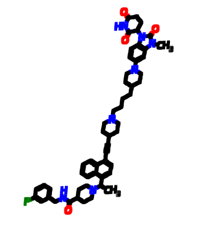 CC(c1ccc(C#CC2CCN(CCCCC3CCN(c4ccc5c(c4)n(C)c(=O)n5C4CCC(=O)NC4=O)CC3)CC2)c2ccccc12)N1CCC(C(=O)NCc2cccc(F)c2)CC1